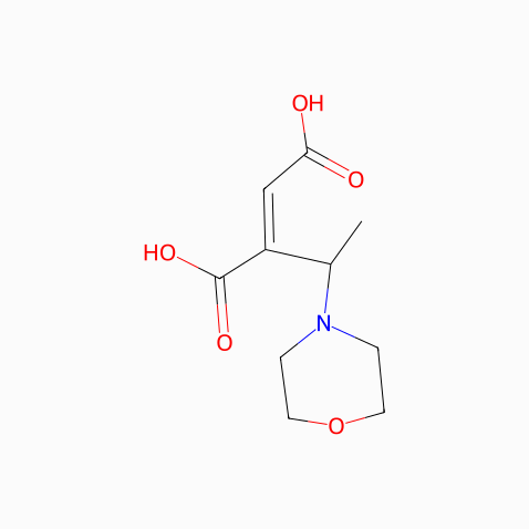 CC(/C(=C\C(=O)O)C(=O)O)N1CCOCC1